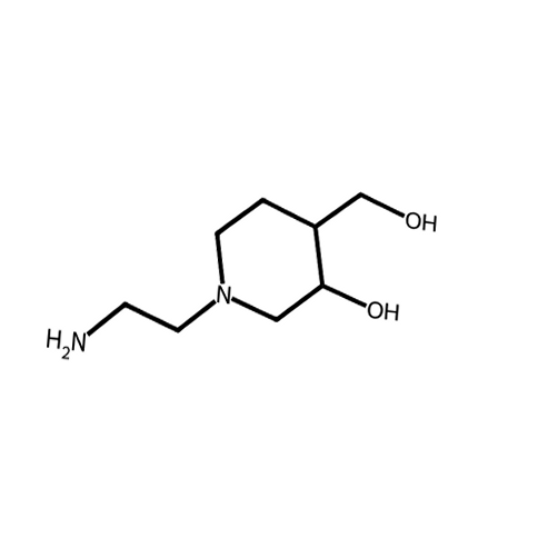 NCCN1CCC(CO)C(O)C1